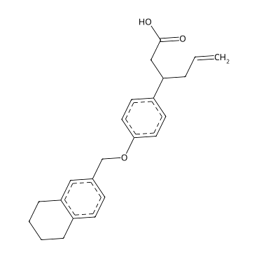 C=CCC(CC(=O)O)c1ccc(OCc2ccc3c(c2)CCCC3)cc1